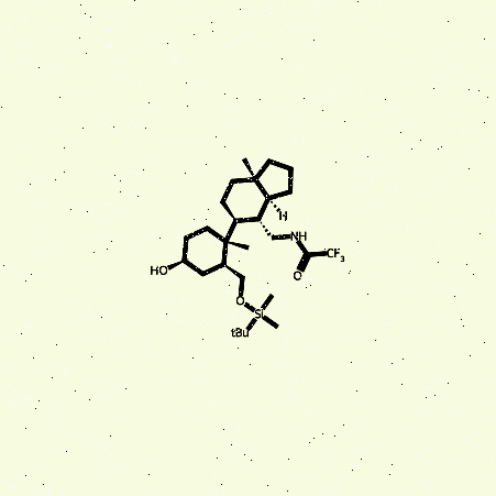 CC(C)(C)[Si](C)(C)OC[C@H]1C[C@@H](O)CC[C@]1(C)[C@H]1CC[C@]2(C)CCC[C@H]2[C@@H]1CNC(=O)C(F)(F)F